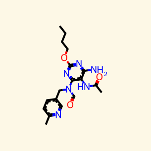 CCCCOc1nc(N)c(NC(C)=O)c(N(C=O)Cc2ccc(C)nc2)n1